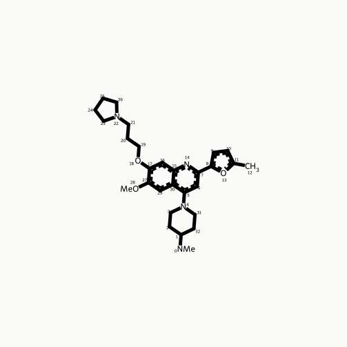 CNC1CCN(c2cc(-c3ccc(C)o3)nc3cc(OCCCN4CCCC4)c(OC)cc23)CC1